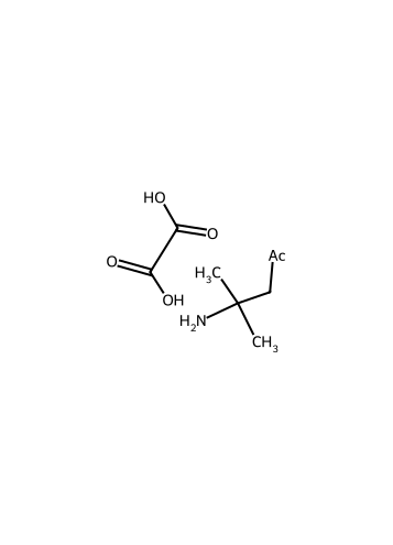 CC(=O)CC(C)(C)N.O=C(O)C(=O)O